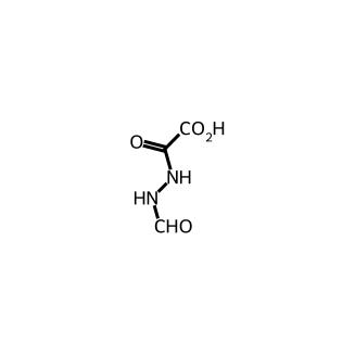 O=CNNC(=O)C(=O)O